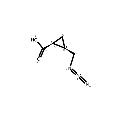 [N-]=[N+]=NC[C@@H]1C[C@@H]1C(=O)O